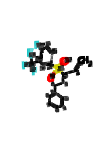 C=CC(CCc1ccccc1)S(=O)(=O)c1ccc(F)c(C(F)(F)F)c1